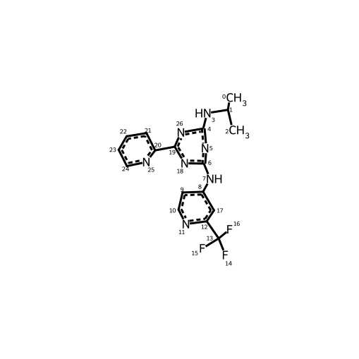 CC(C)Nc1nc(Nc2ccnc(C(F)(F)F)c2)nc(-c2ccccn2)n1